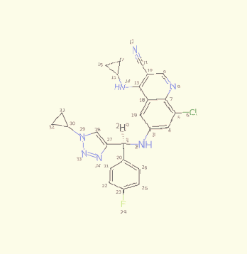 [2H][C@](Nc1cc(Cl)c2ncc(C#N)c(NC3CC3)c2c1)(c1ccc(F)cc1)c1cn(C2CC2)nn1